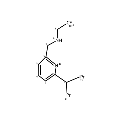 CC(C)C(c1cccc(CNCC(F)(F)F)n1)C(C)C